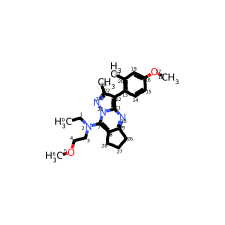 CCN(CCOC)c1c2c(nc3c(-c4ccc(OC)cc4C)c(C)nn13)CCC2